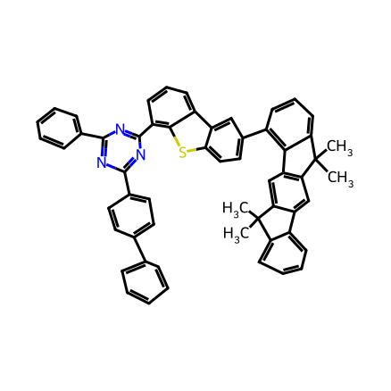 CC1(C)c2ccccc2-c2cc3c(cc21)-c1c(-c2ccc4sc5c(-c6nc(-c7ccccc7)nc(-c7ccc(-c8ccccc8)cc7)n6)cccc5c4c2)cccc1C3(C)C